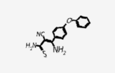 N#C/C(C(N)=S)=C(/N)c1ccc(Oc2ccccc2)cc1